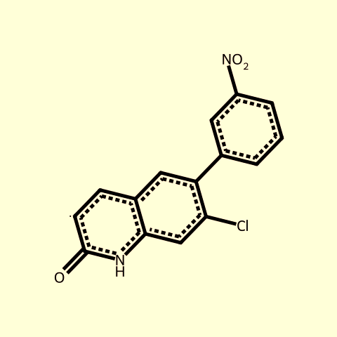 O=c1[c]cc2cc(-c3cccc([N+](=O)[O-])c3)c(Cl)cc2[nH]1